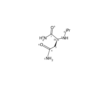 CC(C)N[C@@H](CC(N)=O)C(N)=O